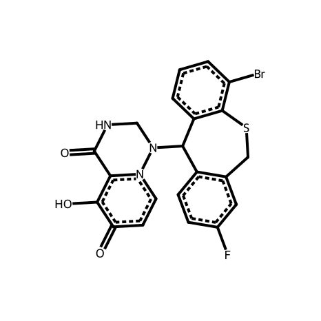 O=C1NCN(C2c3ccc(F)cc3CSc3c(Br)cccc32)n2ccc(=O)c(O)c21